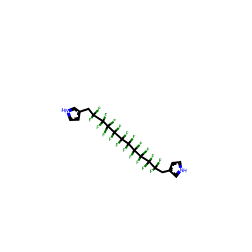 FC(F)(Cc1cc[nH]c1)C(F)(F)C(F)(F)C(F)(F)C(F)(F)C(F)(F)C(F)(F)C(F)(F)C(F)(F)C(F)(F)Cc1cc[nH]c1